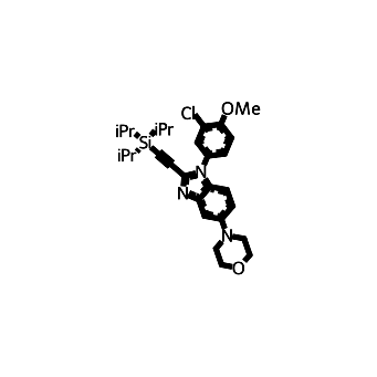 COc1ccc(-n2c(C#C[Si](C(C)C)(C(C)C)C(C)C)nc3cc(N4CCOCC4)ccc32)cc1Cl